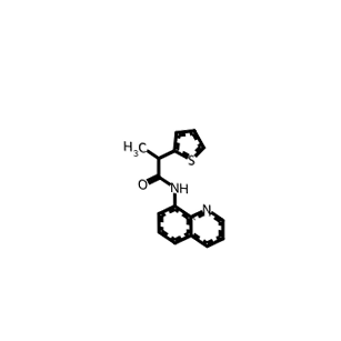 CC(C(=O)Nc1cccc2cccnc12)c1cccs1